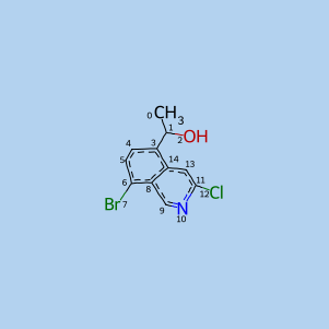 CC(O)c1ccc(Br)c2cnc(Cl)cc12